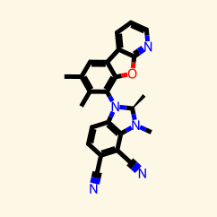 Cc1cc2c(oc3ncccc32)c(N2c3ccc(C#N)c(C#N)c3N(C)[C@@H]2C)c1C